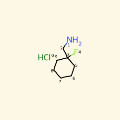 Cl.NCC1(F)CCCCC1